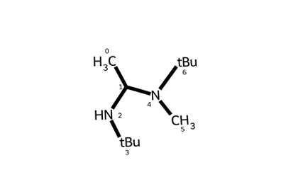 CC(NC(C)(C)C)N(C)C(C)(C)C